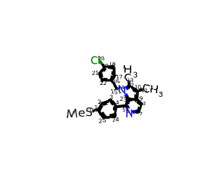 CSc1ccc(-c2nccc3c(C)c(C)n(Cc4ccc(Cl)cc4)c23)cc1